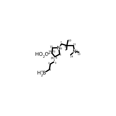 BCCC[C@H]1CN(CC(C)(C)CN(C)C)C[C@H]1C(=O)O